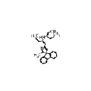 BC(C)C1(/C=C/C=C(\C=C/C)NC(/C=C\C)=C/C)c2ccccc2-c2ccccc21